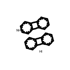 I.N.c1ccc2c(c1)-c1ccccc1-2.c1ccc2c(c1)-c1ccccc1-2